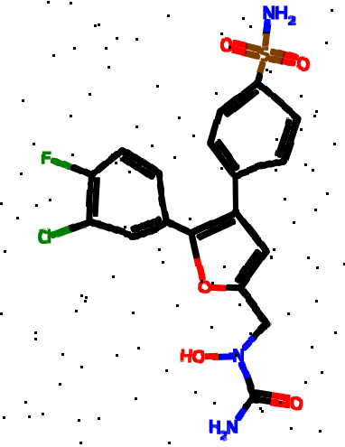 NC(=O)N(O)Cc1cc(-c2ccc(S(N)(=O)=O)cc2)c(-c2ccc(F)c(Cl)c2)o1